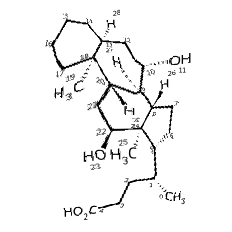 C[C@H](CCC(=O)O)[C@H]1CC[C@H]2[C@@H]3[C@@H](O)C[C@@H]4CCCC[C@]4(C)[C@H]3C[C@H](O)[C@]12C